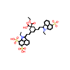 CCOC(=O)C1(C(=O)O)CC(/C=C/C2=[N+](CC)c3ccc(S(=O)(=O)[O-])c4cccc2c34)=CC(=C/C=c2\c3cccc4c(S(=O)(=O)O)cc(S(=O)(=O)O)c(c43)n2CC)/C1